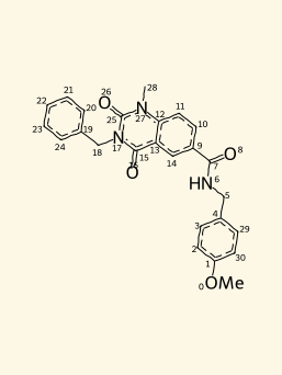 COc1ccc(CNC(=O)c2ccc3c(c2)c(=O)n(Cc2ccccc2)c(=O)n3C)cc1